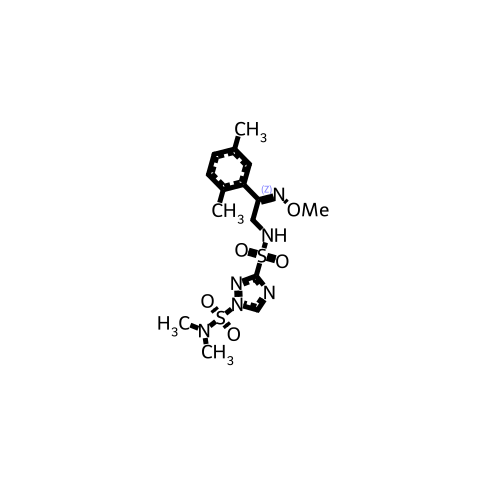 CO/N=C(\CNS(=O)(=O)c1ncn(S(=O)(=O)N(C)C)n1)c1cc(C)ccc1C